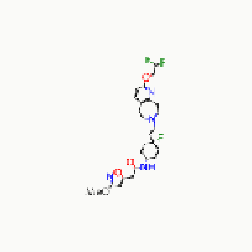 COc1cc(CC(=O)N[C@H]2CC[C@](F)(CCN3CCc4ccc(OCC(F)F)nc4CC3)CC2)on1